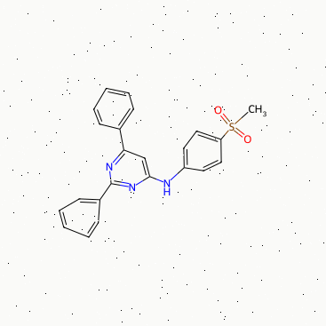 CS(=O)(=O)c1ccc(Nc2cc(-c3ccccc3)nc(-c3ccccc3)n2)cc1